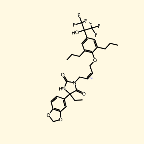 CCCc1cc(C(O)(C(F)(F)F)C(F)(F)F)cc(CCC)c1OC/C=C\CN1C(=O)NC(CC)(c2ccc3c(c2)OCO3)C1=O